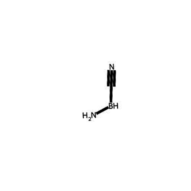 N#CBN